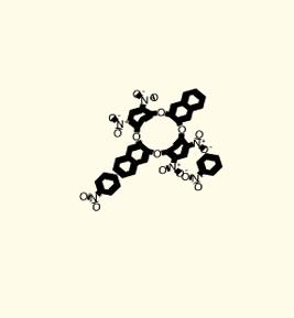 O=[N+]([O-])c1cc([N+](=O)[O-])c2cc1oc1cc3ccccc3cc1oc1cc(oc3cc4ccccc4cc3o2)c([N+](=O)[O-])cc1[N+](=O)[O-].O=[N+]([O-])c1ccccc1.O=[N+]([O-])c1ccccc1